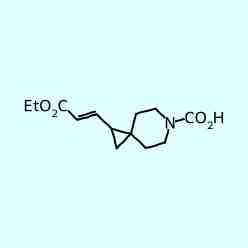 CCOC(=O)C=CC1CC12CCN(C(=O)O)CC2